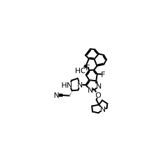 C#Cc1cccc2cccc(-c3c(F)cc4c(N5CCN[C@@H](CC#N)C5)nc(OCC56CCCN5CCC6)nc4c3F)c12